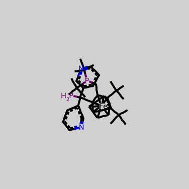 CC(C)(C)P(C[C]12[C]3(C(P)(c4cccnc4)c4cccnc4)[CH]4[C]5(C(C)(C)C)[C]1(C(C)(C)C)[Fe]42351678[CH]2[CH]1[CH]6[CH]7[CH]28)C(C)(C)C